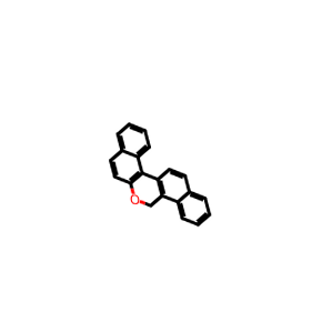 c1ccc2c3c(ccc2c1)-c1c(ccc2ccccc12)OC3